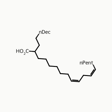 CCCCC/C=C\C/C=C\CCCCCCC(CCCCCCCCCCCC)C(=O)O